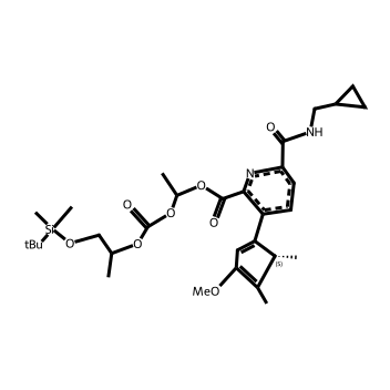 COC1=C(C)[C@@H](C)C(c2ccc(C(=O)NCC3CC3)nc2C(=O)OC(C)OC(=O)OC(C)CO[Si](C)(C)C(C)(C)C)=C1